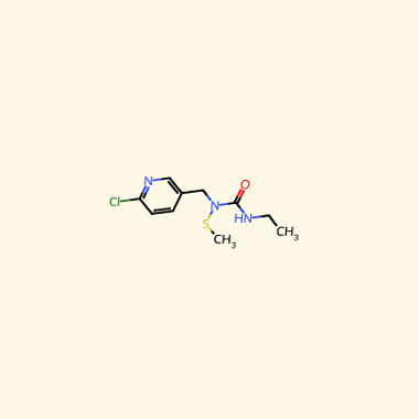 CCNC(=O)N(Cc1ccc(Cl)nc1)SC